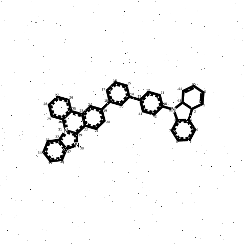 C1=CC2c3ccccc3N(c3ccc(-c4cccc(-c5ccc6c(c5)c5ccccc5n5c7ccccc7nc65)c4)cc3)C2C=C1